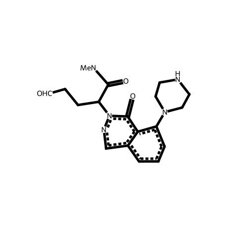 CNC(=O)C(CCC=O)n1ncc2cccc(N3CCNCC3)c2c1=O